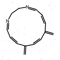 C=C1/C=C\C=N/CC/N=C\C=C/C(=C)/C=C\1